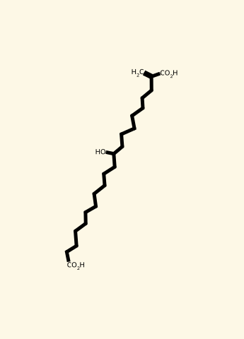 C=C(CCCCCCCC(O)CCCCCCCCCCC(=O)O)C(=O)O